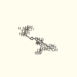 CC(C)(C)OC(=O)NCCCC[C@@H](c1nnn[nH]1)N(CCCNC[C@H](O)[C@@H](O)[C@H](O)[C@H](O)CO)C(=O)CCc1ccc(-c2ccc(CCCCNC(=N)NC(=O)c3nc(Cl)c(N)nc3N)cc2)cc1